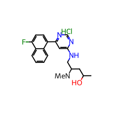 CNC(CNc1cc(-c2ccc(F)c3ccccc23)ncn1)CC(C)O.Cl